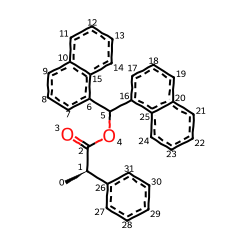 C[C@@H](C(=O)OC(c1cccc2ccccc12)c1cccc2ccccc12)c1ccccc1